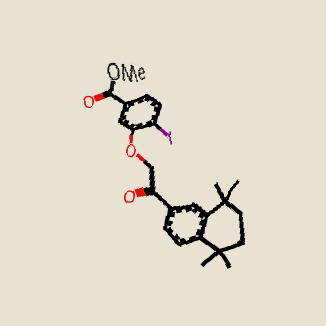 COC(=O)c1ccc(I)c(OCC(=O)c2ccc3c(c2)C(C)(C)CCC3(C)C)c1